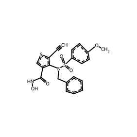 C#Cc1scc(C(=O)NO)c1N(Cc1ccccc1)S(=O)(=O)c1ccc(OC)cc1